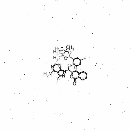 CC(c1oc(=O)c2ccccc2c1-c1cc(F)cc(C2OC(C)(C)C(C)(C)O2)c1)n1nc(I)c2c(N)ncnc21